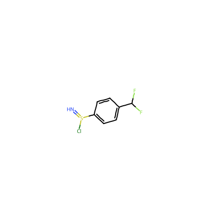 N=S(Cl)c1ccc(C(F)F)cc1